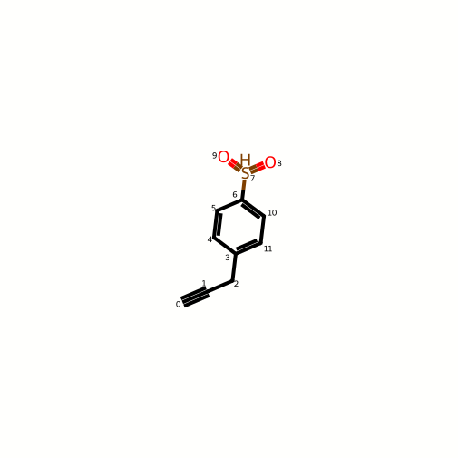 C#CCc1ccc([SH](=O)=O)cc1